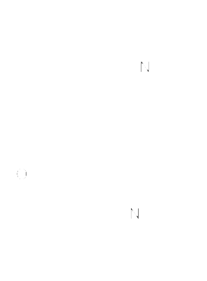 O=[C]c1cncc2ccncc12